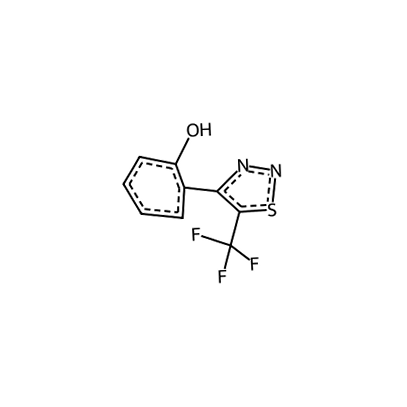 Oc1ccccc1-c1nnsc1C(F)(F)F